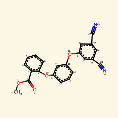 COC(=O)c1ccccc1Oc1cccc(Oc2cc(C#N)cc(C#N)c2)c1